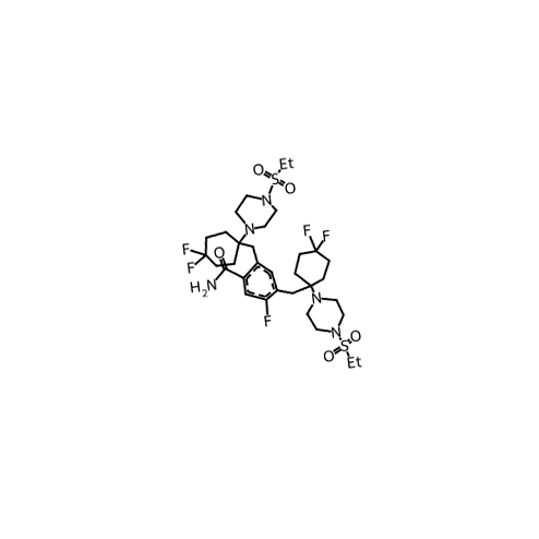 CCS(=O)(=O)N1CCN(C2(Cc3cc(CC4(N5CCN(S(=O)(=O)CC)CC5)CCC(F)(F)CC4)c(C(N)=O)cc3F)CCC(F)(F)CC2)CC1